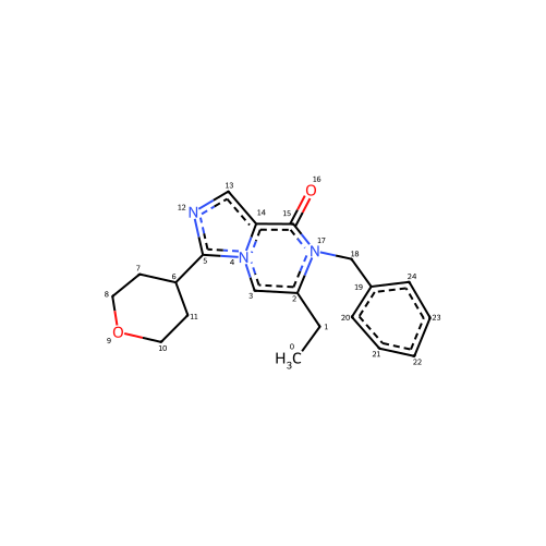 CCc1cn2c(C3CCOCC3)ncc2c(=O)n1Cc1ccccc1